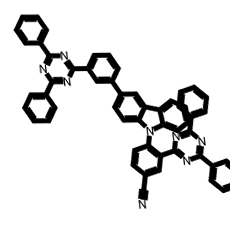 N#Cc1ccc(-n2c3ccccc3c3cc(-c4cccc(-c5nc(-c6ccccc6)nc(-c6ccccc6)n5)c4)ccc32)c(-c2nc(-c3ccccc3)nc(-c3ccccc3)n2)c1